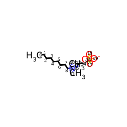 CCCCCCCCC[N+](C)(C)CCCOS(=O)(=O)[O-]